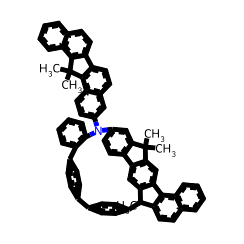 CC1(C)c2cc3ccc2-c2cc4c(cc21)-c1c(ccc2ccccc12)C4(C)c1ccc(cc1)-c1ccc(cc1)-c1ccccc1N3c1ccc2c3c(ccc2c1)-c1ccc2ccccc2c1C3(C)C